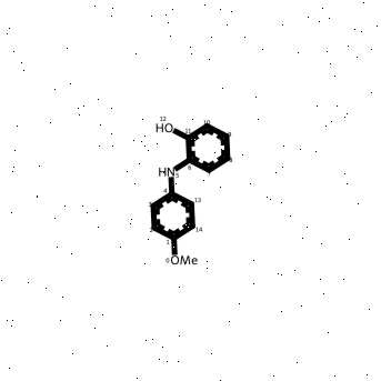 COc1ccc(Nc2ccccc2O)cc1